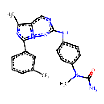 Cc1nc(-c2cccc(C(F)(F)F)c2)n2nc(Nc3ccc(N(C)C(N)=O)cc3)ncc12